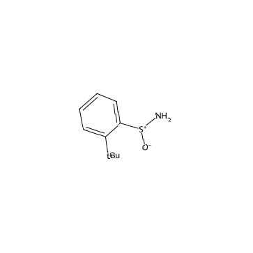 CC(C)(C)c1ccccc1[S+](N)[O-]